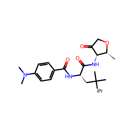 CC(C)C(C)(C)C[C@H](NC(=O)c1ccc(N(C)C)cc1)C(=O)N[C@@H]1C(=O)CO[C@@H]1C